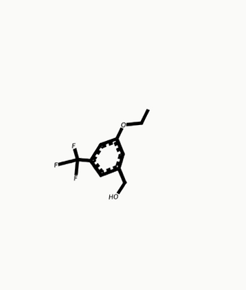 CCOc1cc([CH]O)cc(C(F)(F)F)c1